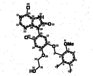 COc1ccc(F)c(F)c1COc1cc(-n2c(=O)[nH]c3c(Cl)ncnc32)c(Cl)cc1OCCO